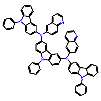 c1ccc(-n2c3ccccc3c3cc(N(c4ccc5ncccc5c4)c4ccc5c(c4)c4cc(N(c6ccc7ncccc7c6)c6ccc7c(c6)c6ccccc6n7-c6ccccc6)ccc4n5-c4ccccc4)ccc32)cc1